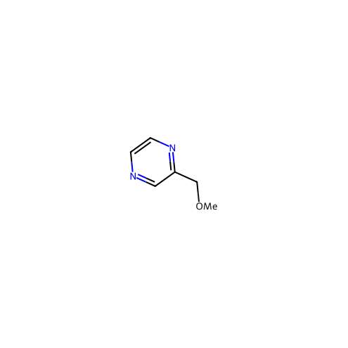 COCc1cnccn1